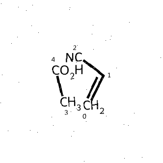 C=CC#N.CC(=O)O